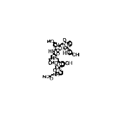 CSCC[C@H](NC(=O)[C@@H]1C[C@@H](O)CN1C(=O)CNC(=O)[C@@H]1CCCN1C(=O)[C@@H]1C[C@@H](O)CN1)C(=O)NCC(=O)N1C[C@H](O)C[C@H]1C(=O)N1CCC[C@H]1C(=O)NCC(=O)O